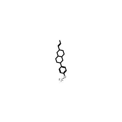 CC=CC1CCC2CC(c3ccc(OC(F)(F)F)cc3)CCC2C1